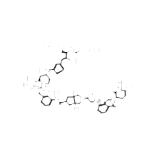 CC1(C)C[C@@H](Nc2cccc(-c3sc(C(=O)O)c(OCC(=O)O)c3Cl)c2)CCN1S(=O)(=O)Cc1cccc(NC(=O)C2C[C@@H]3CN(C(=O)CNc4cccc5c4CN([C@@H]4CCC(=O)NC4=O)C5=O)C[C@@H]3C2)c1